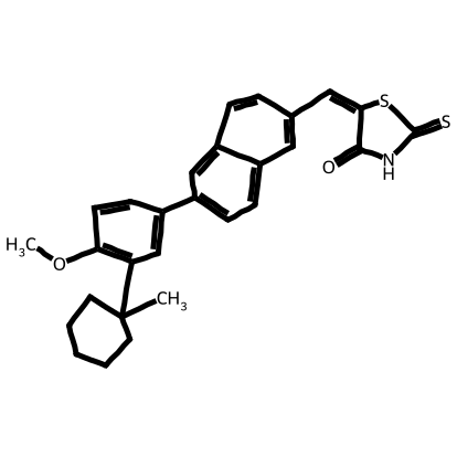 COc1ccc(-c2ccc3cc(C=C4SC(=S)NC4=O)ccc3c2)cc1C1(C)CCCCC1